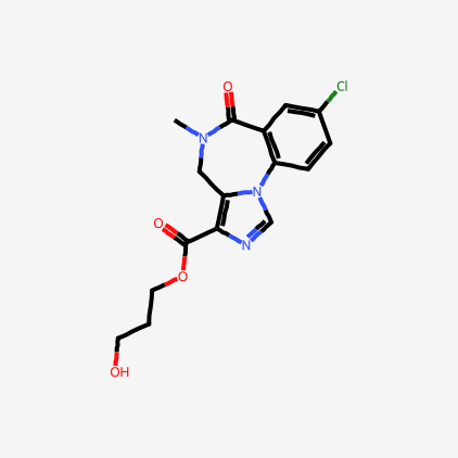 CN1Cc2c(C(=O)OCCCO)ncn2-c2ccc(Cl)cc2C1=O